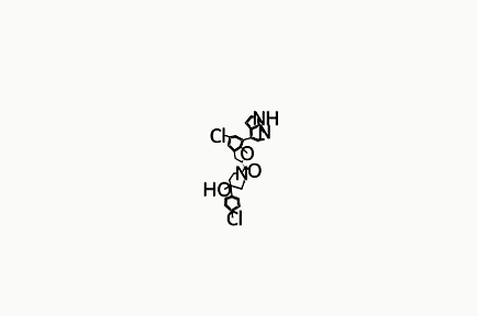 O=C([C@@H]1Cc2cc(Cl)cc(-c3ccnc4[nH]ccc34)c2O1)N1CCC(O)(c2ccc(Cl)cc2)CC1